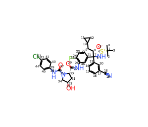 CC(C)(C)[S@@+]([O-])NC(CCC1CC1)(c1cccc(C#N)c1)c1ccc(F)c(NC(=O)[C@@H]2C[C@@H](O)CN2C(=O)Nc2ccc(Cl)cc2)c1